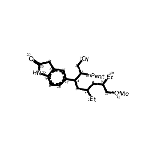 CCCCCC(CC#N)C(CC(CC)CC(CC)COC)c1ccc2c(c1)CC(=O)N2